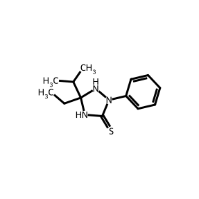 CCC1(C(C)C)NC(=S)N(c2ccccc2)N1